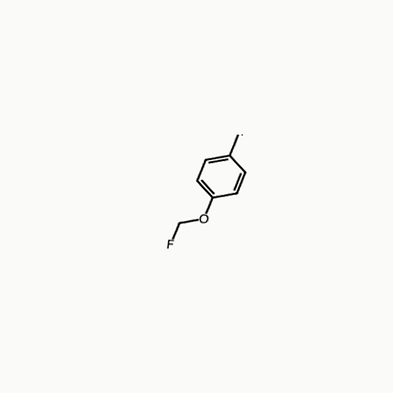 [CH2]c1ccc(OCF)cc1